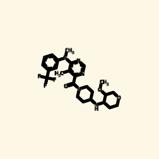 COC1COCCC1NC1CCN(C(=O)c2ncnc(N(C)c3cccc(C(F)(F)F)c3)c2C)CC1